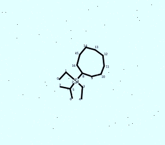 CC[Si](CC)(C(C)C)C1CCCCCCCC1